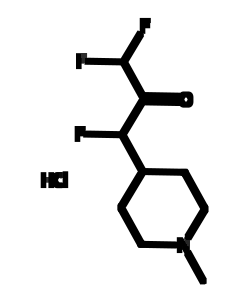 CN1CCC(C(F)C(=O)C(F)F)CC1.Cl